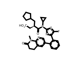 CN1C(=O)CCc2cc(-c3ccccc3-c3nc(N(C(=O)[C@@H](CC(=O)O)CC4CCCC4)C4CC4)sc3F)cnc21